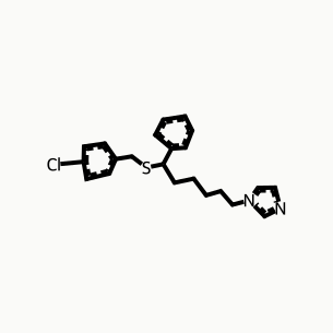 Clc1ccc(CSC(CCCCCn2ccnc2)c2ccccc2)cc1